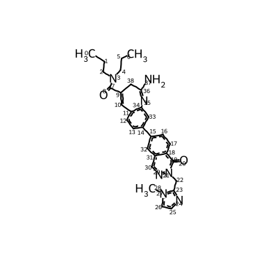 CCCN(CCC)C(=O)C1=Cc2ccc(-c3ccc4c(=O)n(Cc5nccn5C)ncc4c3)cc2N=C(N)C1